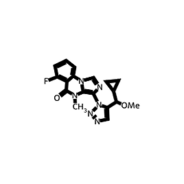 COC(c1cnnn1-c1ncn2c3cccc(F)c3c(=O)n(C)c12)C1CC1